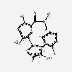 CCCCN(C)C(=O)c1cc(-c2nnc(O)n2-c2ccccc2C)c(O)cc1O